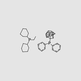 CCP(C1CCCCC1)C1CCCCC1.c1ccc(P(c2ccccc2)[C]23[CH]4[CH]5[CH]6[CH]2[Fe]56432789[CH]3[CH]2[CH]7[CH]8[CH]39)cc1